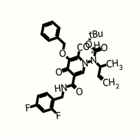 C=CC(C)N(C(=O)OC(C)(C)C)n1cc(C(=O)NCc2ccc(F)cc2F)c(=O)c(OCc2ccccc2)c1C(=O)O